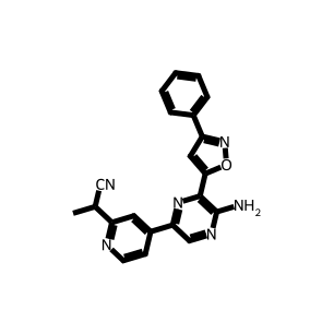 CC(C#N)c1cc(-c2cnc(N)c(-c3cc(-c4ccccc4)no3)n2)ccn1